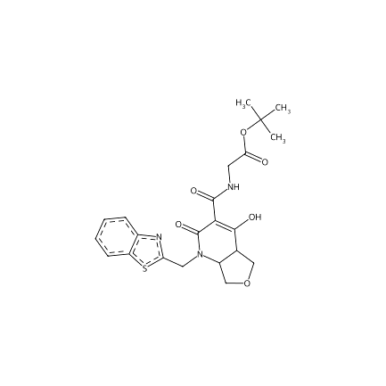 CC(C)(C)OC(=O)CNC(=O)C1=C(O)C2COCC2N(Cc2nc3ccccc3s2)C1=O